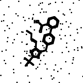 CCC=Cc1nc(C(C)(C)C)nn1Cc1ccc(-c2ccccc2C(=O)O)cc1